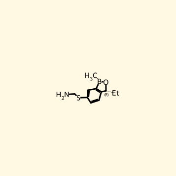 CC[C@H]1OB(C)c2cc(SCN)ccc21